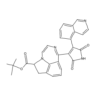 CC(C)(C)OC(=O)C1Cc2cccc3c2N1C=CN=C3C1=C(c2cccc3cnccc23)C(=O)NC1=O